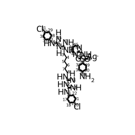 N=C(NCCCCCCNC(=N)NC(=N)Nc1ccc(Cl)cc1)NC(=N)Nc1ccc(Cl)cc1.Nc1ccc(S(=O)(=O)Nc2ncccn2)cc1.[Ag]